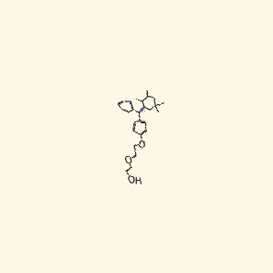 CC1CC(C)(C)C/C(=C(/c2ccccc2)c2ccc(OCCOCCO)cc2)C1C